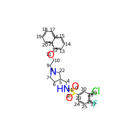 O=S(=O)(NCC1CCN(CCOc2cccc3ccccc23)C1)c1ccc(F)c(Cl)c1